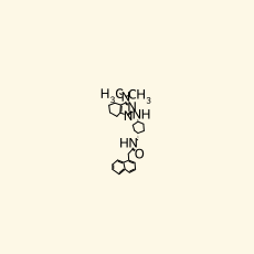 CN(C)c1nc(N[C@H]2CC[C@@H](CNC(=O)Cc3cccc4ccccc34)CC2)nc2c1CCCC2